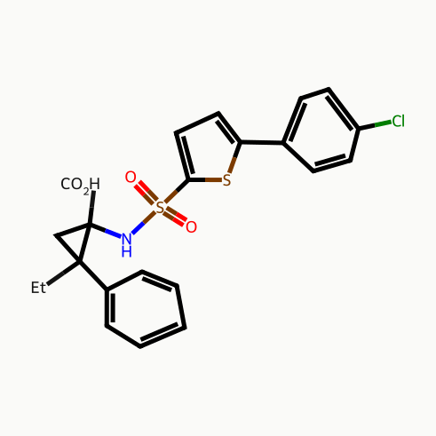 CCC1(c2ccccc2)CC1(NS(=O)(=O)c1ccc(-c2ccc(Cl)cc2)s1)C(=O)O